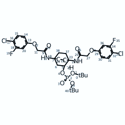 CC(C)(C)OP(=O)(O[C@H]1CC2(NC(=O)COc3ccc(Cl)c(F)c3)CCC1(NC(=O)COc1ccc(Cl)c(F)c1)CC2)OC(C)(C)C